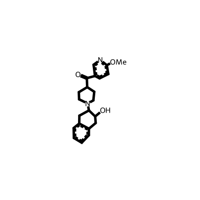 COc1ccc(C(=O)C2CCN(C3Cc4ccccc4CC3O)CC2)cn1